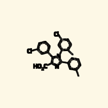 Cc1cccc(-c2nc(C(=O)O)c(-c3cccc(Cl)c3)n2-c2cc(Cl)ccc2C)c1